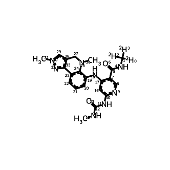 [2H]C([2H])([2H])NC(=O)c1cnc(NC(=O)NC)cc1Nc1cccc2c1N(C)Cc1cn(C)nc1-2